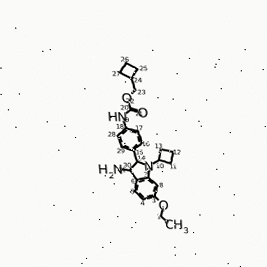 CCOc1ccc2c(c1)N(C1CCC1)C(c1ccc(NC(=O)OCC3CCC3)cc1)C2N